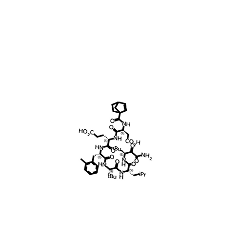 CCCC[C@H](NC(=O)[C@H](CC(C)C)NC(=O)[C@@H](NC(=O)[C@H](Cc1ccccc1C)NC(=O)[C@H](CCC(=O)O)NC(=O)[C@H](CC(=O)O)NC(=O)C12C=CC(CC1)C2)C(C)(C)C)C(=O)C(N)=O